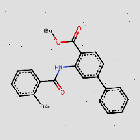 CC(=O)Oc1ccccc1C(=O)Nc1cc(-c2ccccc2)ccc1C(=O)OC(C)(C)C